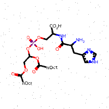 CCCCCCCCC(=O)OCC(OC(=O)CCCCCCCC)OP(=O)(O)OCC(NC(=O)C(N)Cc1c[nH]cn1)C(=O)O